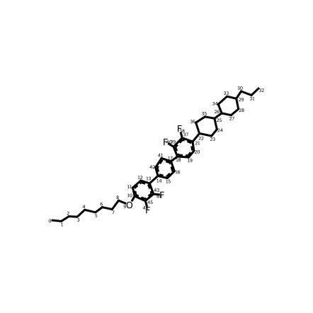 CCCCCCCCCOc1ccc(-c2ccc(-c3ccc(C4CCC(C5CCC(CCC)CC5)CC4)c(F)c3F)cc2)c(F)c1F